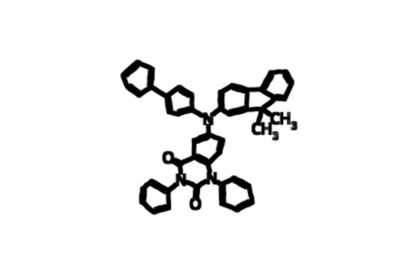 CC1(C)c2ccccc2-c2ccc(N(c3ccc(-c4ccccc4)cc3)c3ccc4c(c3)c(=O)n(-c3ccccc3)c(=O)n4-c3ccccc3)cc21